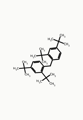 CC(C)(C)c1ccc(Cc2ccc(C(C)(C)C)cc2C(C)(C)C)c(C(C)(C)C)c1